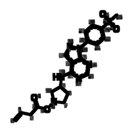 C=CCC(=O)ON1CCC(Nc2ncnc3c2cnn3-c2ccc(S(C)(=O)=O)cc2)C1